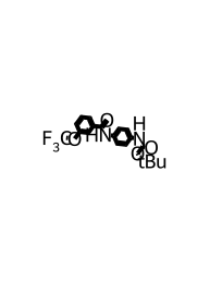 CC(C)(C)OC(=O)Nc1ccc(NC(=O)c2cccc(OC(F)(F)F)c2)cc1